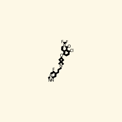 O=c1c2c(Cl)ccc(OC3CC4(C3)CN(CCCc3cc5nncn5cc3F)C4)c2ccn1C(F)F